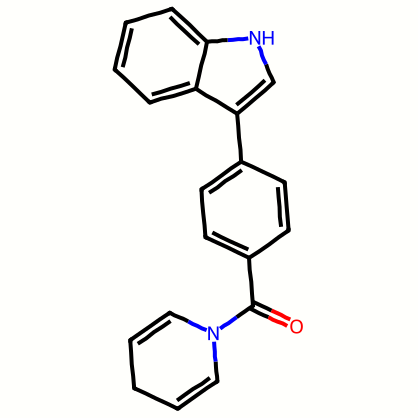 O=C(c1ccc(-c2c[nH]c3ccccc23)cc1)N1C=CCC=C1